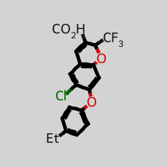 CCc1ccc(Oc2cc3c(cc2Cl)C=C(C(=O)O)C(C(F)(F)F)O3)cc1